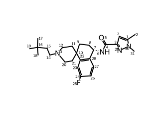 Cc1cc(C(=O)N[C@H]2CCC3(CCN(CCC(C)(C)C)CC3)c3cc(F)ccc32)nn1C